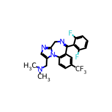 CN(C)Cc1cnc2n1-c1ccc(C(F)(F)F)cc1C(c1c(F)cccc1F)=NC2